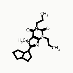 CCCn1c(=O)c2c(nc(C3CCC4CCCC43)n2C)n(CCC)c1=O